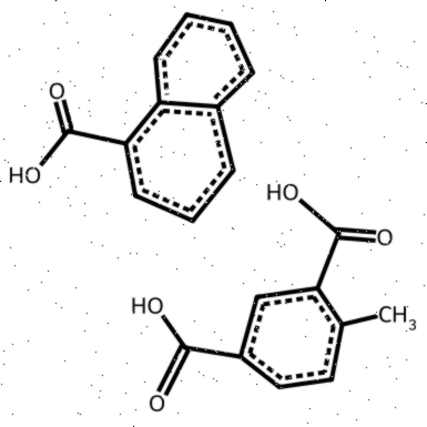 Cc1ccc(C(=O)O)cc1C(=O)O.O=C(O)c1cccc2ccccc12